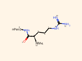 CCCCCNC(=O)[C@@H](CCCNC(=N)N)NC